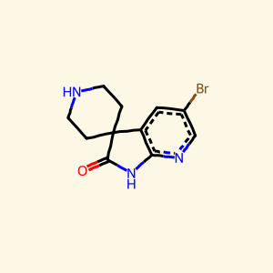 O=C1Nc2ncc(Br)cc2C12CCNCC2